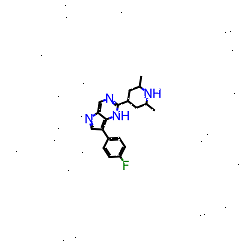 CC1CC(c2ncc3ncc(-c4ccc(F)cc4)c-3[nH]2)CC(C)N1